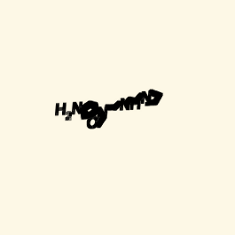 Nc1ccc2c(c1)OCCN2CCCNCCCN1CCCC1